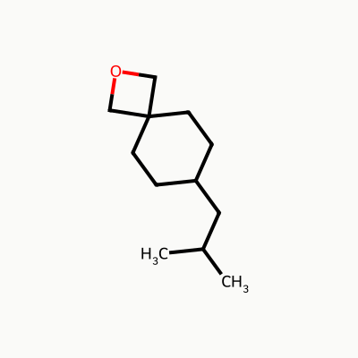 CC(C)CC1CCC2(CC1)COC2